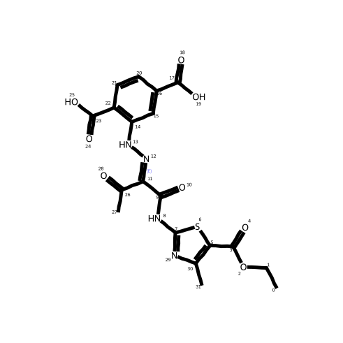 CCOC(=O)c1sc(NC(=O)/C(=N/Nc2cc(C(=O)O)ccc2C(=O)O)C(C)=O)nc1C